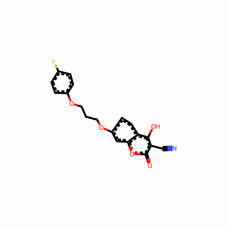 N#Cc1c(O)c2ccc(OCCCOc3ccc(F)cc3)cc2oc1=O